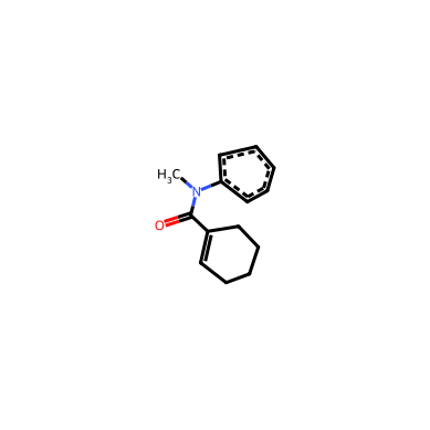 CN(C(=O)C1=CCCCC1)c1ccccc1